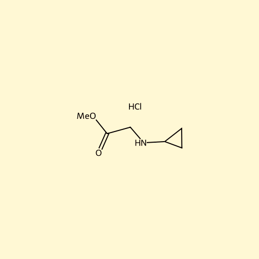 COC(=O)CNC1CC1.Cl